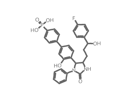 O=C1NC(CCC(O)c2ccc(F)cc2)C(c2ccc(-c3ccc(P(=O)(O)O)cc3)cc2O)N1c1ccccc1